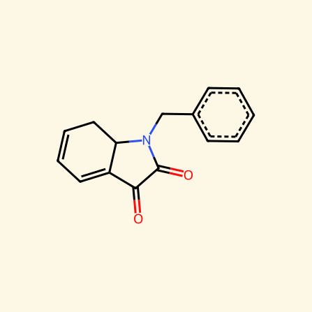 O=C1C(=O)N(Cc2ccccc2)C2CC=CC=C12